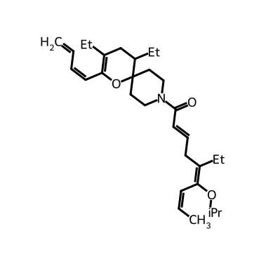 C=C/C=C\C1=C(CC)CC(CC)C2(CCN(C(=O)/C=C/C/C(CC)=C(\C=C/C)OC(C)C)CC2)O1